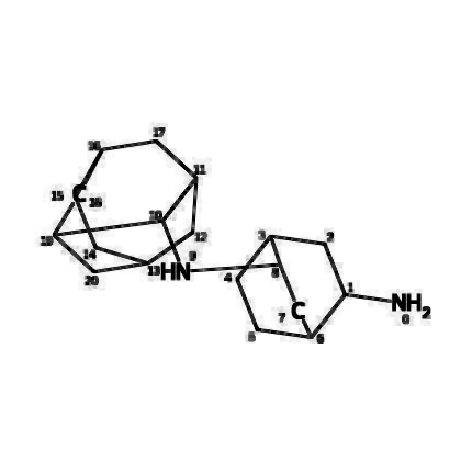 NC1CC2CCC1CC2NC1C2CC3CCC(C2)CC1C3